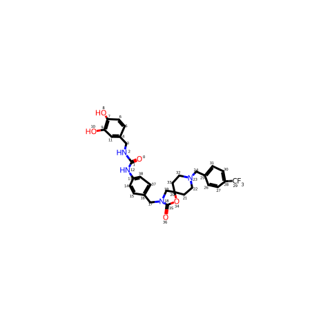 O=C(NCc1ccc(O)c(O)c1)Nc1ccc(CN2CC3(CCN(Cc4ccc(C(F)(F)F)cc4)CC3)OC2=O)cc1